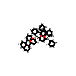 c1ccc(-c2ccccc2N(c2ccc(-c3cccc4cccc(-c5ccccc5)c34)cc2)c2ccc3c(c2)c2c(-c4ccccc4)cccc2n3-c2ccccc2)cc1